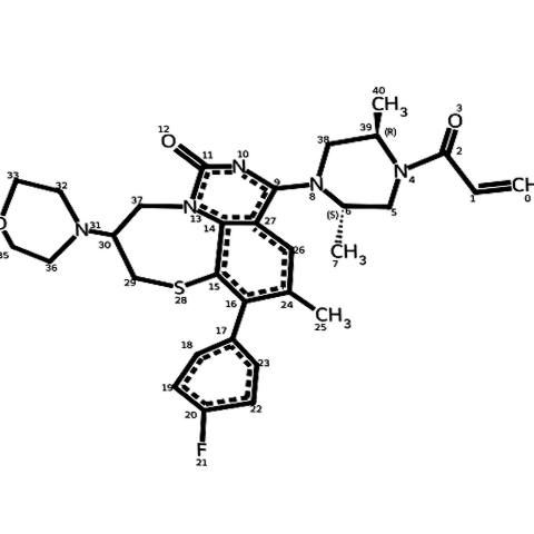 C=CC(=O)N1C[C@H](C)N(c2nc(=O)n3c4c(c(-c5ccc(F)cc5)c(C)cc24)SCC(N2CCOCC2)C3)C[C@H]1C